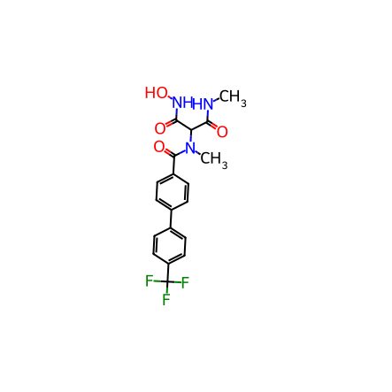 CNC(=O)C(C(=O)NO)N(C)C(=O)c1ccc(-c2ccc(C(F)(F)F)cc2)cc1